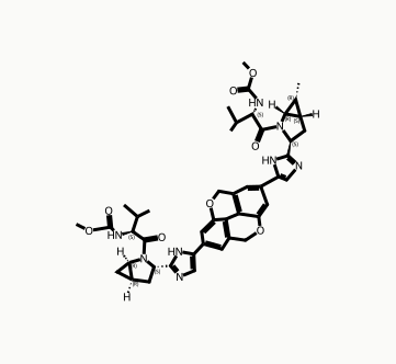 COC(=O)N[C@H](C(=O)N1[C@@H]2[C@H](C)[C@@H]2C[C@H]1c1ncc(-c2cc3c4c(c2)OCc2cc(-c5cnc([C@@H]6C[C@H]7C[C@H]7N6C(=O)[C@@H](NC(=O)OC)C(C)C)[nH]5)cc(c2-4)OC3)[nH]1)C(C)C